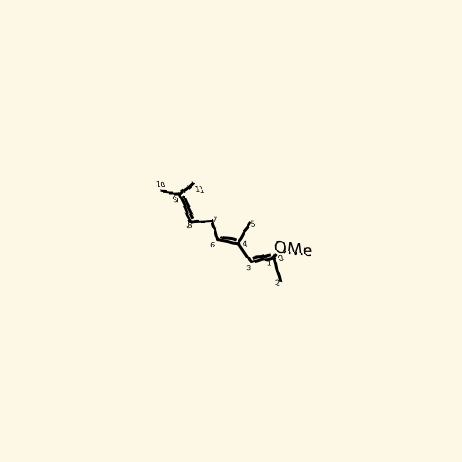 CO/C(C)=C\C(C)=C\CC=C(C)C